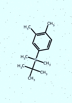 Cc1ccc([Si](C)(C)C(C)(C)C)cc1C